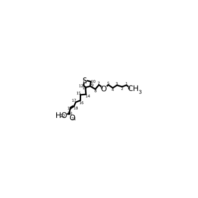 CCCCCCOCCC1CSCC1CCCCC=CC(=O)O